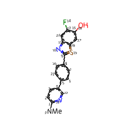 CNc1ccc(-c2ccc(-c3nc4cc(F)c(O)cc4s3)cc2)cn1